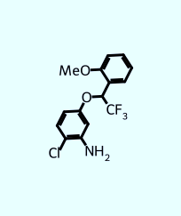 COc1ccccc1C(Oc1ccc(Cl)c(N)c1)C(F)(F)F